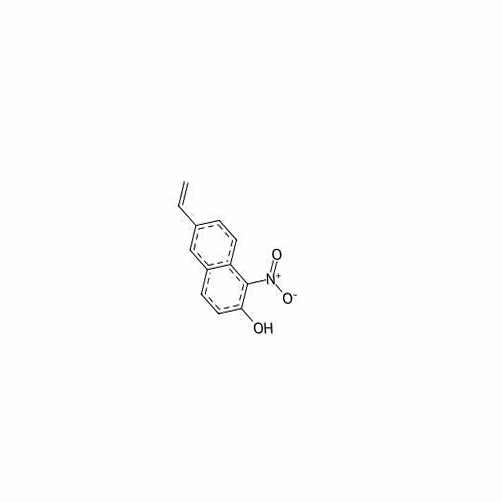 C=Cc1ccc2c([N+](=O)[O-])c(O)ccc2c1